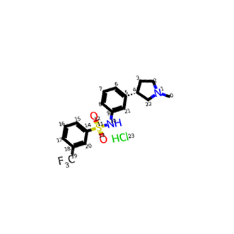 CN1CC[C@@H](c2cccc(NS(=O)(=O)c3cccc(C(F)(F)F)c3)c2)C1.Cl